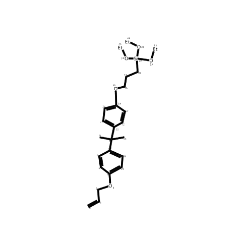 C=CCOc1ccc(C(C)(C)c2ccc(OCCC[Si](OCC)(OCC)OCC)cc2)cc1